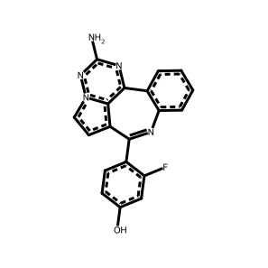 Nc1nc2c3c(ccn3n1)C(c1ccc(O)cc1F)=Nc1ccccc1-2